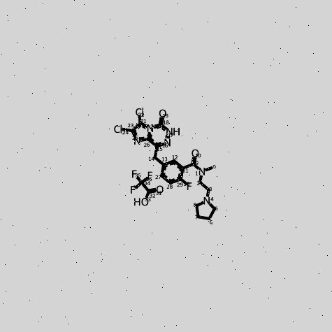 CN(CCN1CCCC1)C(=O)c1cc(Cc2n[nH]c(=O)n3c(Cl)c(Cl)nc23)ccc1F.O=C(O)C(F)(F)F